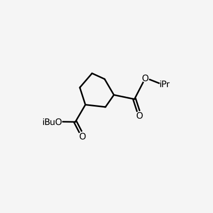 CC(C)COC(=O)C1CCCC(C(=O)OC(C)C)C1